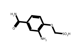 NC(=O)c1ccc(OCS(=O)(=O)O)c(N)c1